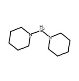 C1CCN([SiH2]N2CCCCC2)CC1